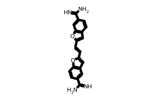 N=C(N)c1ccc2oc(/C=C/c3cc4ccc(C(=N)N)cc4o3)cc2c1